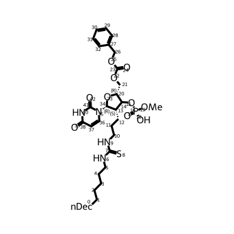 CCCCCCCCCCCCCCCNC(=S)NCCC[C@H]1C(OP(=O)(O)OC)[C@@H](COC(=O)OCc2ccccc2)O[C@H]1n1ccc(=O)[nH]c1=O